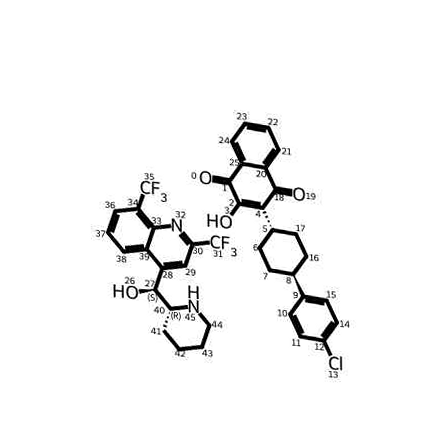 O=C1C(O)=C([C@H]2CC[C@H](c3ccc(Cl)cc3)CC2)C(=O)c2ccccc21.O[C@@H](c1cc(C(F)(F)F)nc2c(C(F)(F)F)cccc12)[C@H]1CCCCN1